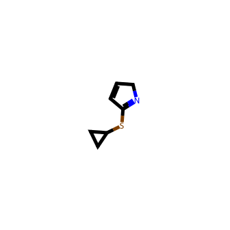 C1=CC(SC2CC2)=NC1